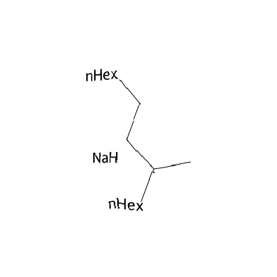 CCCCCCCC[C](C)CCCCCC.[NaH]